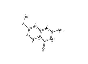 Nc1nc2nc(CO)cnc2c(=O)[nH]1